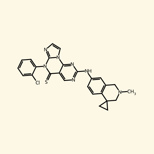 CN1Cc2cc(Nc3ncc4c(=S)n(-c5ccccc5Cl)c5nccn5c4n3)ccc2C2(CC2)C1